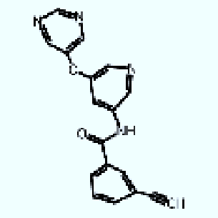 C#Cc1cccc(C(=O)Nc2cncc(Oc3cncnc3)c2)c1